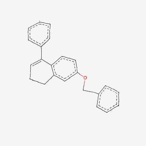 [c]1ccc(C2=CCCc3cc(OCc4ccccc4)ccc32)cc1